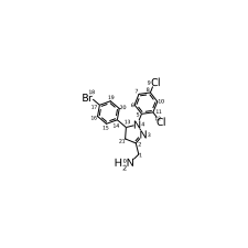 NCC1=NN(c2ccc(Cl)cc2Cl)C(c2ccc(Br)cc2)C1